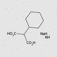 O=C(O)C(C(=O)O)C1CCCCC1.[KH].[NaH]